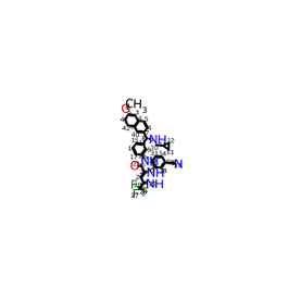 COC1=Cc2ccc(C(NCC3CC3)c3cccc(NC(=O)/C(=C/C(=N)C(F)(F)F)Nc4cccc(C#N)c4)c3)cc2CC1